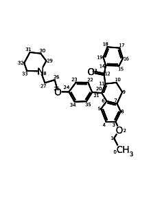 CCOc1ccc2c(c1)CCC(C(=O)c1ccccc1)=C2c1ccc(OCCN2CCCCC2)cc1